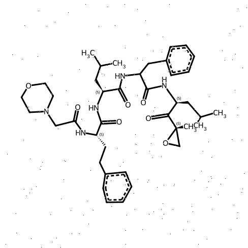 CC(C)C[C@H](NC(=O)[C@H](CCc1ccccc1)NC(=O)CN1CCOCC1)C(=O)NC(Cc1ccccc1)C(=O)N[C@@H](CC(C)C)C(=O)[C@]1(C)CO1